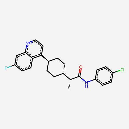 C[C@@H](C(=O)Nc1ccc(Cl)cc1)[C@H]1CC[C@H](c2ccnc3cc(F)ccc32)CC1